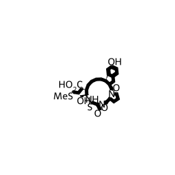 CSCCC(C(=O)O)[C@@H]1CCCC[C@H](C)C(Cc2ccc(O)cc2)C(=O)N2CCCC2C2=NC(C(=O)O2)C(=S)N[C@H]1CO